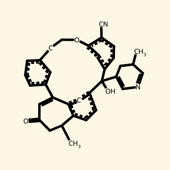 CC1C=NC=C(C2(O)c3ccc(C#N)c(c3)OCCc3cccc(c3)C3=CC(=O)CC(C)c4ccc2cc43)C1